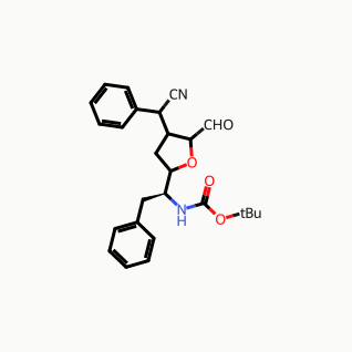 CC(C)(C)OC(=O)N[C@@H](Cc1ccccc1)C1CC(C(C#N)c2ccccc2)C(C=O)O1